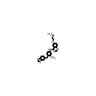 COCCOc1ccc2ncnc(Nc3ccc(Cc4ccc5ncsc5c4)c(C)c3)c2c1